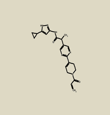 C=CC(=O)N1CC=C(c2ncc(C(C)C(=O)Nc3cc(C4CC4)[nH]n3)cn2)CC1